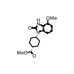 COc1cccc2c1[nH]c(=O)n2[C@H]1CC[C@@H](C(=O)OC)CC1